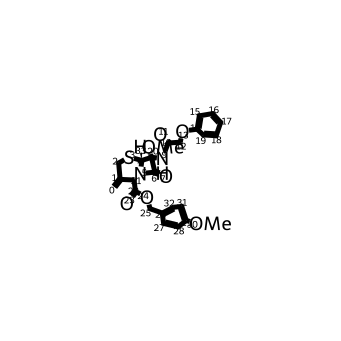 C=C1CS[C@@H]2N(C(=O)C2(NC(=O)COc2ccccc2)OC)C1C(=O)OCc1ccc(OC)cc1